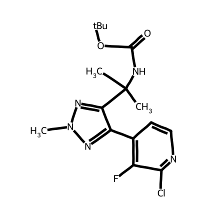 Cn1nc(-c2ccnc(Cl)c2F)c(C(C)(C)NC(=O)OC(C)(C)C)n1